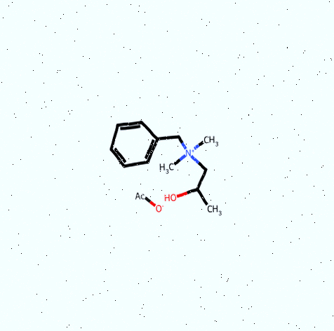 CC(=O)[O-].CC(O)C[N+](C)(C)Cc1ccccc1